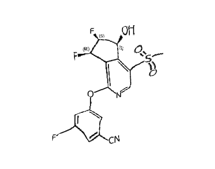 CS(=O)(=O)c1cnc(Oc2cc(F)cc(C#N)c2)c2c1[C@H](O)[C@H](F)[C@@H]2F